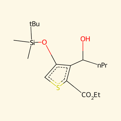 CCCC(O)c1c(O[Si](C)(C)C(C)(C)C)csc1C(=O)OCC